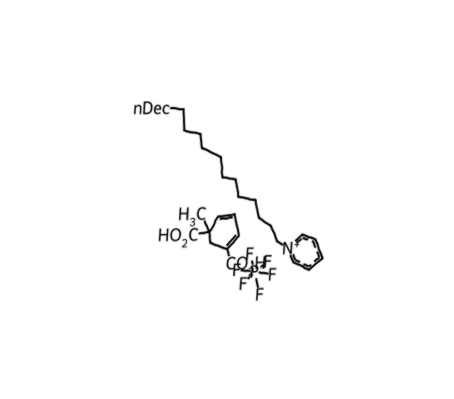 CC1(C(=O)O)C=CC=C(C(=O)O)C1.CCCCCCCCCCCCCCCCCCCCCC[n+]1ccccc1.F[P-](F)(F)(F)(F)F